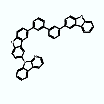 c1cc(-c2cccc(-c3ccc4oc5ccc(-n6c7ccccc7c7cccnc76)cc5c4c3)c2)cc(-c2ccc3oc4ccccc4c3c2)c1